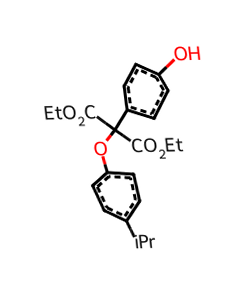 CCOC(=O)C(Oc1ccc(C(C)C)cc1)(C(=O)OCC)c1ccc(O)cc1